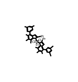 C[CH2][Zr]([Cl])([Cl])([CH]1C(C(C)C)=Cc2c(-c3cc(C)cc(C)c3)c(C)c(C)c(C)c21)[CH]1C(C(C)C)=Cc2c(-c3cc(C)cc(C)c3)c(C)c(C)c(C)c21